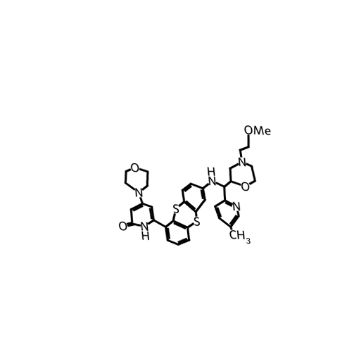 COCCN1CCOC(C(Nc2ccc3c(c2)Sc2cccc(-c4cc(N5CCOCC5)cc(=O)[nH]4)c2S3)c2ccc(C)cn2)C1